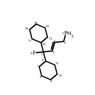 FC(C=CCP)(C1CCCCC1)C1CCCCC1